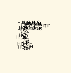 CN1CC=C[C+](C(=O)O)C1.CN1CC=C[C+](C(=O)O)C1.CN1CC=C[C+](C(=O)O)C1.CN1CC=C[C+](C(=O)O)C1.CN1CC=C[C+](C(=O)O)C1.CN1CC=C[C+](C(=O)OC2C(O)C(O)C(O)C(O)C2O)C1.[I-].[I-].[I-].[I-].[I-].[I-]